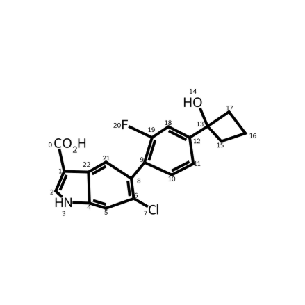 O=C(O)c1c[nH]c2cc(Cl)c(-c3ccc(C4(O)CCC4)cc3F)cc12